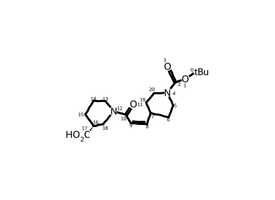 CC(C)(C)OC(=O)N1CCC(/C=C\C(=O)N2CCC[C@@H](C(=O)O)C2)CC1